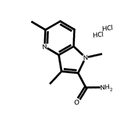 Cc1ccc2c(n1)c(C)c(C(N)=O)n2C.Cl.Cl